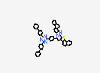 c1ccc(-c2ccc(-c3nc(-c4ccc(-c5ccccc5)cc4)nc(-c4ccc(-c5cc6c7ccc8ccccc8c7sc6c6nc7c8ccc9ccccc9c8ccc7n56)cc4)n3)cc2)cc1